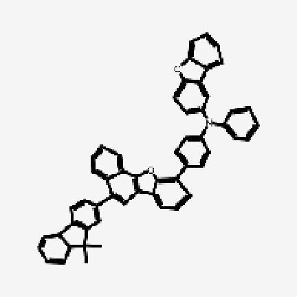 CC1(C)c2cc(-c3cc4c5cccc(-c6ccc(N(c7ccccc7)c7ccc8oc9ccccc9c8c7)cc6)c5oc4c4ccccc34)ccc2C2C=CC=CC21